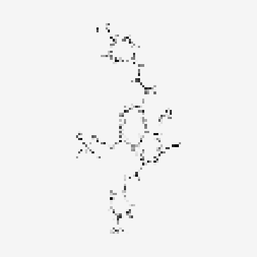 C[C@@H](OC(=O)OCc1ccc([N+](=O)[O-])cc1)[C@H]1C(=O)N(C(Cl)C(=O)OCc2ccc([N+](=O)[O-])cc2)[C@@H]1SC(=O)CO[Si](C)(C)C(C)(C)C